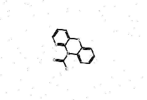 O=C(Cl)N1c2ccccc2Sc2cccnc21